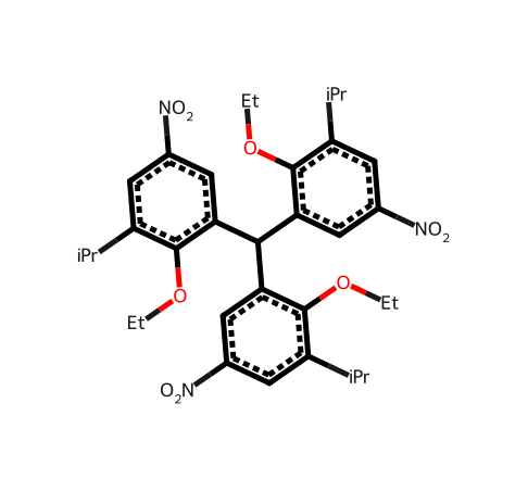 CCOc1c(C(C)C)cc([N+](=O)[O-])cc1C(c1cc([N+](=O)[O-])cc(C(C)C)c1OCC)c1cc([N+](=O)[O-])cc(C(C)C)c1OCC